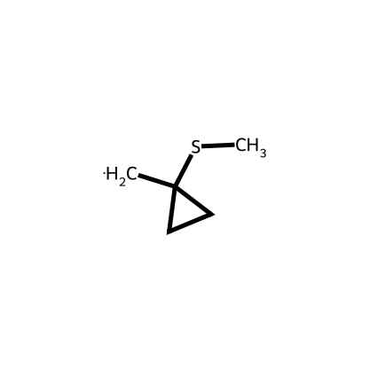 [CH2]C1(SC)CC1